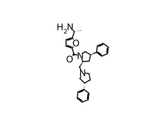 C[C@@H](N)c1ccc(C(=O)N2C[C@@H](c3ccccc3)C[C@H]2CN2CC[C@H](c3ccccc3)C2)o1